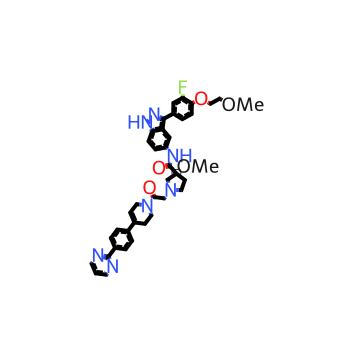 COCCOc1ccc(-c2n[nH]c3ccc(NC(=O)[C@]4(OC)CCN(CC(=O)N5CC=C(c6ccc(-c7ncccn7)cc6)CC5)C4)cc23)cc1F